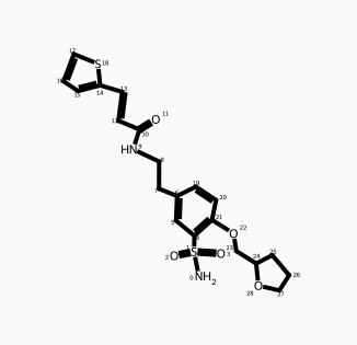 NS(=O)(=O)c1cc(CCNC(=O)C=Cc2cccs2)ccc1OCC1CCCO1